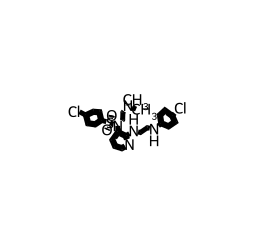 CN(C)CCN(c1cccnc1NCCNc1ccc(Cl)cc1)S(=O)(=O)c1ccc(Cl)cc1